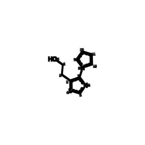 OCCc1scnc1-n1cccc1